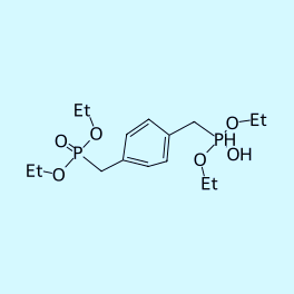 CCOP(=O)(Cc1ccc(C[PH](O)(OCC)OCC)cc1)OCC